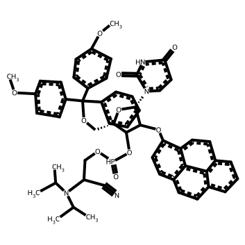 COc1ccc(C(OC[C@@H]2O[C@H](n3ccc(=O)[nH]c3=O)C(Oc3ccc4ccc5cccc6ccc3c4c56)C2O[PH](=O)OCC(C#N)N(C(C)C)C(C)C)(c2ccccc2)c2ccc(OC)cc2)cc1